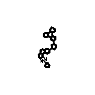 c1ccc(-n2nc3ccc4ccc5cc(-c6cccc(-c7ccc8c9ccccc9c9ccccc9c8c7)c6)ccc5c4c3n2)cc1